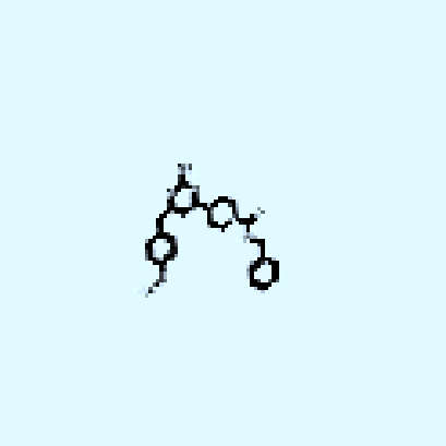 COc1ccc(Cc2cc(C3CCN(C(=O)NCc4ccccc4)CC3)nc(N)n2)cc1